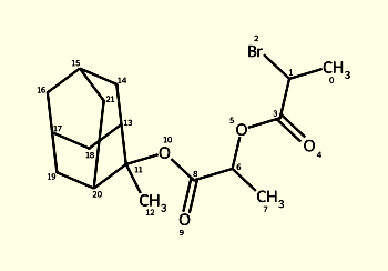 CC(Br)C(=O)OC(C)C(=O)OC1(C)C2CC3CC(C2)CC1C3